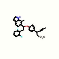 CC#CC(CC(=O)O)c1ccc(OC(Cc2c(F)cccc2F)c2ccc3cc[nH]c3c2C)cc1